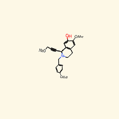 COCC#CC1c2cc(O)c(OC)cc2CCN1Cc1ccc(OC)cc1